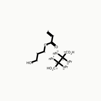 C=CC(=O)OCCCO.CCCC(CCC)(C(=O)O)C(CCC)(CCC)C(=O)O